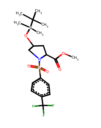 COC(=O)C1CC(O[Si](C)(C)C(C)(C)C)CN1S(=O)(=O)c1ccc(C(F)(F)F)cc1